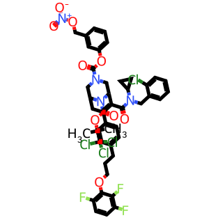 CC(C)(OC(=O)N1C2CC(c3ccc(CCCOc4c(F)ccc(F)c4F)cc3)=C(C(=O)N(Cc3ccccc3Cl)C3CC3)C1CN(C(=O)Oc1cccc(CO[N+](=O)[O-])c1)C2)C(Cl)(Cl)Cl